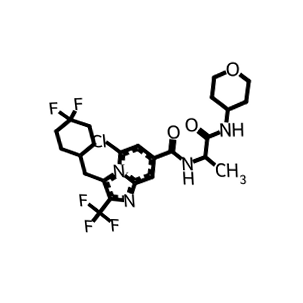 CC(NC(=O)c1cc(Cl)n2c(CC3CCC(F)(F)CC3)c(C(F)(F)F)nc2c1)C(=O)NC1CCOCC1